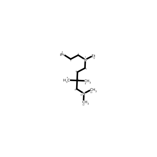 CCN(CCC(C)C)CCC(C)(C)CN(C)C